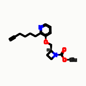 C#CCCCCc1ncccc1OC[C@@H]1CCN1C(=O)OC(C)(C)C